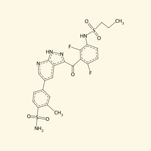 CCCS(=O)(=O)Nc1ccc(F)c(C(=O)c2n[nH]c3ncc(-c4ccc(S(N)(=O)=O)c(C)c4)cc23)c1F